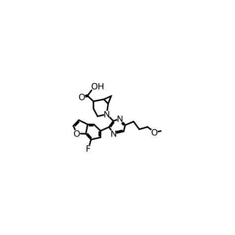 COCCCc1cnc(-c2cc(F)c3occc3c2)c(N2CCC(C(=O)O)C3CC32)n1